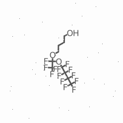 OCCCCOC(F)(OC(F)(F)C(F)(F)C(F)(F)C(F)(F)F)C(F)(F)F